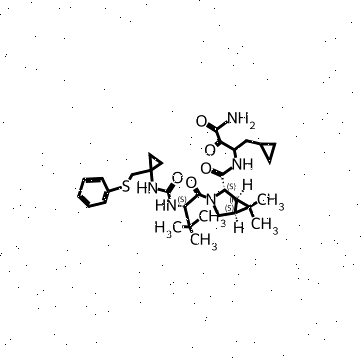 CC(C)(C)[C@H](NC(=O)NC1(CSc2ccccc2)CC1)C(=O)N1C[C@H]2[C@@H]([C@H]1C(=O)NC(CC1CC1)C(=O)C(N)=O)C2(C)C